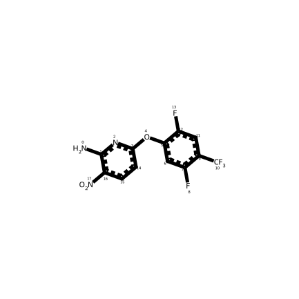 Nc1nc(Oc2cc(F)c(C(F)(F)F)cc2F)ccc1[N+](=O)[O-]